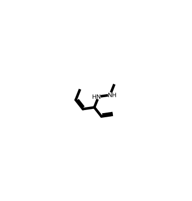 C=CC(/C=C\C)NNC